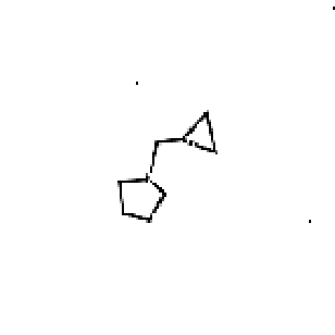 C1CCN(CC2CC2)C1